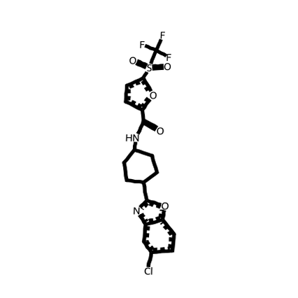 O=C(NC1CCC(c2nc3cc(Cl)ccc3o2)CC1)c1ccc(S(=O)(=O)C(F)(F)F)o1